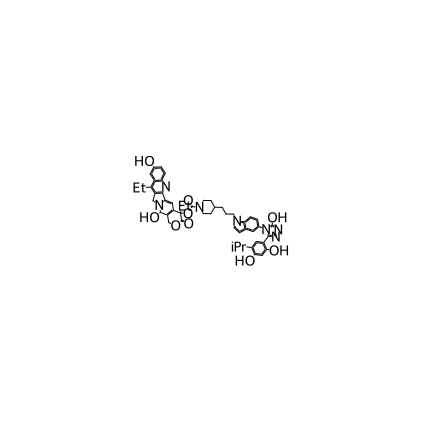 CCc1c2c(nc3ccc(O)cc13)C1=CC3=C(COC(=O)C3(CC)OC(=O)N3CCC(CCCn4ccc5cc(-n6c(O)nnc6-c6cc(C(C)C)c(O)cc6O)ccc54)CC3)C(O)N1C2